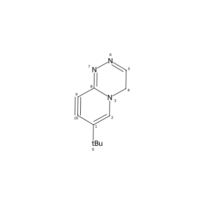 CC(C)(C)C1=CN2CC=NN=C2C#C1